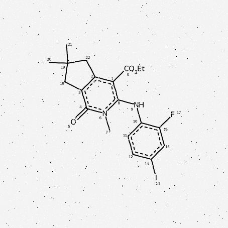 CCOC(=O)c1c2c(c(=O)n(C)c1Nc1ccc(I)cc1F)CC(C)(C)C2